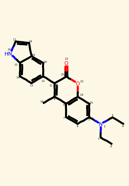 CCN(CC)c1ccc2c(C)c(-c3ccc4[nH]ccc4c3)c(=O)oc2c1